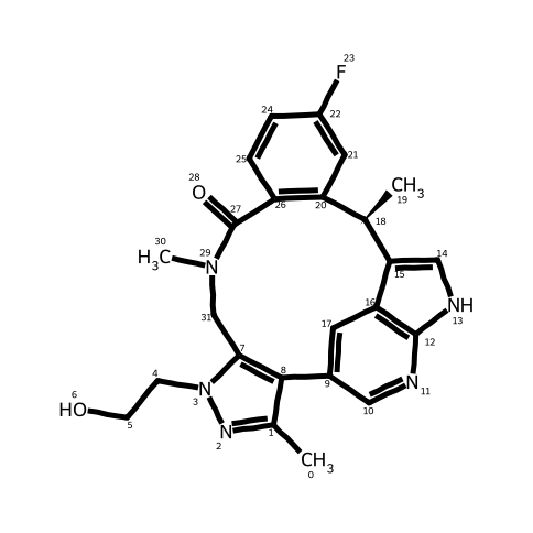 Cc1nn(CCO)c2c1-c1cnc3[nH]cc(c3c1)[C@H](C)c1cc(F)ccc1C(=O)N(C)C2